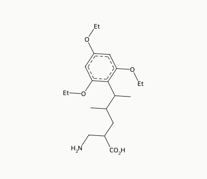 CCOc1cc(OCC)c(C(C)C(C)CC(CN)C(=O)O)c(OCC)c1